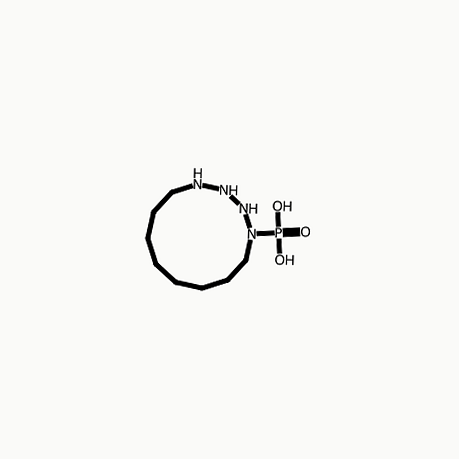 O=P(O)(O)N1CCCCCCCCNNN1